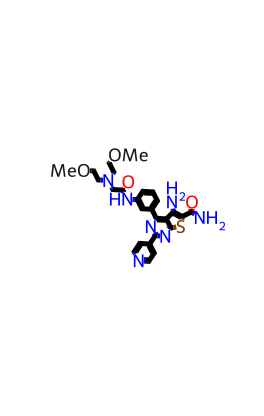 COCCN(CCOC)CC(=O)Nc1cccc(-c2nc(-c3ccncc3)nc3sc(C(N)=O)c(N)c23)c1